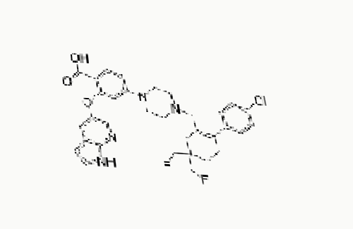 O=C(O)c1ccc(N2CCN(CC3=C(c4ccc(Cl)cc4)CCC(CF)(CF)C3)CC2)cc1Oc1cnc2[nH]ccc2c1